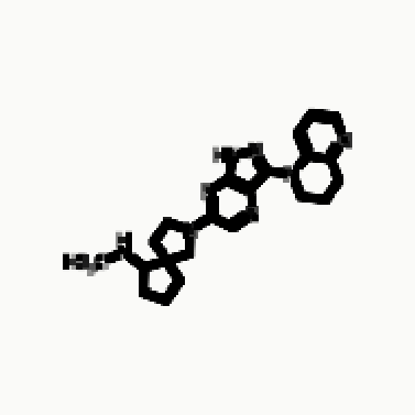 O=C(O)NC1CCCC12CCN(c1cnc3c(N4CCCc5ncccc54)n[nH]c3n1)C2